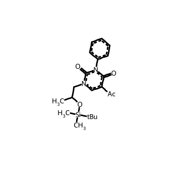 CC(=O)c1cn(CC(C)O[Si](C)(C)C(C)(C)C)c(=O)n(-c2ccccc2)c1=O